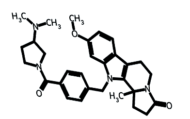 COc1ccc2c3c(n(Cc4ccc(C(=O)N5CCC(N(C)C)C5)cc4)c2c1)C1(C)CCC(=O)N1CC3